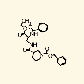 CCOC(=O)C(CNC(=O)[C@@H]1CCCN(C(=O)OCc2ccccc2)C1)NC(=O)c1ccccc1